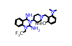 COc1cccc(N(C)C)c1CN1CCC(N2C(N)c3ccccc3N(CC(F)(F)F)C2N)CC1